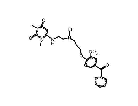 CCN(CCCOc1ccc(C(=O)c2ccccc2)cc1[N+](=O)[O-])CCNc1cc(=O)n(C)c(=O)n1C